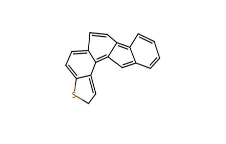 C1=c2ccccc2=c2ccc3ccc4c(c3c21)=CCS4